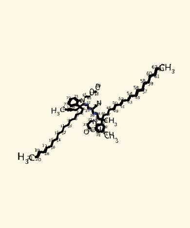 CC#CCC1(CCCCCCCCCCCCCCCCC)\C(=C/C=C(C#N)/C=C/C2=[N+](CCC(=O)O)c3ccc(C)cc3C2(C)CCCCCCCCCCCCCCCCCC)N(CCOC=O)c2ccccc21